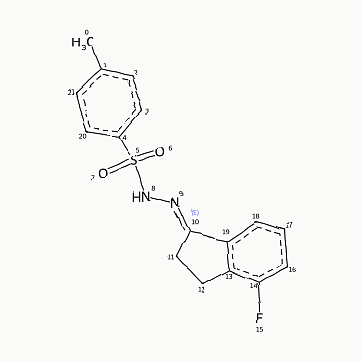 Cc1ccc(S(=O)(=O)N/N=C2\CCc3c(F)cccc32)cc1